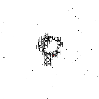 C=C1C[C@@H]2CC[C@@]34C[C@H]5O[C@H]6[C@@H](O3)[C@H]3O[C@H](CC[C@@H]3O[C@H]6[C@H]5O4)CC(=O)C[C@@H]3[C@@H](C)[C@@H](C[C@H](O)CN)O[C@H]3C[C@H]3O[C@@H](CC[C@@H]1O2)C[C@@H](C)C3=C